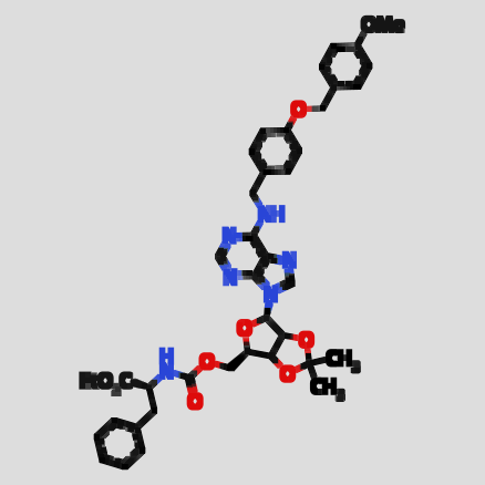 CCOC(=O)[C@H](Cc1ccccc1)NC(=O)OC[C@H]1O[C@@H](n2cnc3c(NCc4ccc(OCc5ccc(OC)cc5)cc4)ncnc32)C2OC(C)(C)OC21